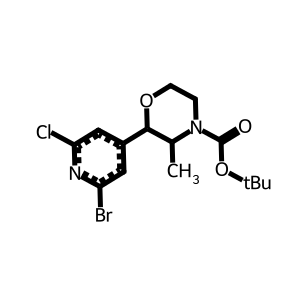 CC1C(c2cc(Cl)nc(Br)c2)OCCN1C(=O)OC(C)(C)C